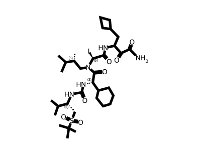 CC(C)[C@H](C)CN(C(=O)[C@@H](NC(=O)N[C@H](CS(=O)(=O)C(C)(C)C)C(C)C)C1CCCCC1)[C@@H](I)C(=O)NC(CC1CCC1)C(=O)C(N)=O